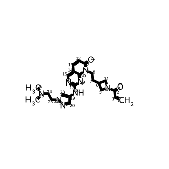 C=CC(=O)N1CC(CCn2c(=O)ccc3cnc(Nc4cnn(CCN(C)C)c4)nc32)C1